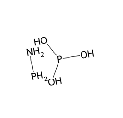 NP.OP(O)O